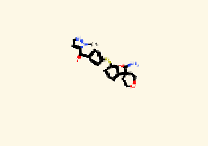 Cn1nccc1C(=O)c1ccc(Sc2cccc(C3(C(N)=O)CCOCC3)c2)cc1